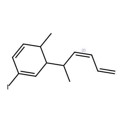 C=C/C=C\C(C)C1C=C(I)C=CC1C